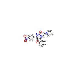 O=C1N=C(c2ccc([N+](=O)[O-])cc2)C2Oc3ccccc3C2N1CCN1CCCC1